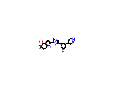 CC1(C)CCc2nc(-c3ncc(-c4cc(F)cc(-c5ccncc5)c4)s3)ccc2C1=O